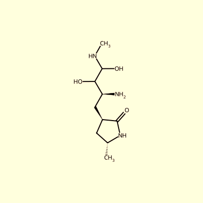 CNC(O)C(O)[C@@H](N)C[C@@H]1C[C@@H](C)NC1=O